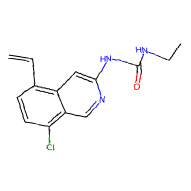 C=Cc1ccc(Cl)c2cnc(NC(=O)NCC)cc12